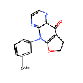 COc1cccc(-n2c3c(c(=O)c4nccnc42)CCO3)c1